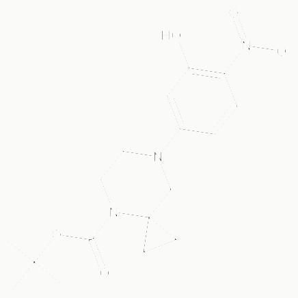 CC(C)(C)OC(=O)N1CCN(c2ccc([N+](=O)[O-])c(O)c2)CC12CC2